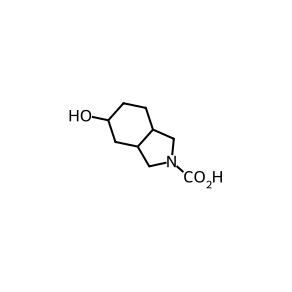 O=C(O)N1CC2CCC(O)CC2C1